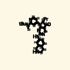 CC(C)n1c(=O)c2cnc(Nc3ccc4c(c3)CNCC4)nc2n1-c1ccnc(N(C)C(C)(C)C)c1